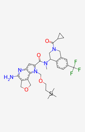 CN(C(=O)c1cc2nc(N)c3c(c2n1COCC[Si](C)(C)C)COC3)C1CN(C(=O)C2CC2)Cc2cc(C(F)(F)F)ccc21